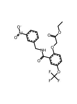 CCOC(=O)COc1ccc(OC(F)(F)F)cc1C(=O)NCc1cccc([N+](=O)[O-])c1